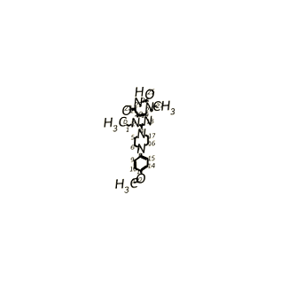 CCn1c(N2CCN(c3ccc(OC)cc3)CC2)nc2c1c(=O)[nH]c(=O)n2C